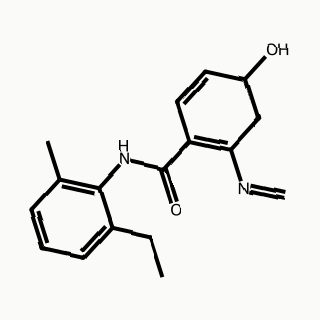 C=NC1=C(C(=O)Nc2c(C)cccc2CC)C=CC(O)C1